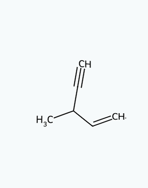 [CH]=CC(C)C#C